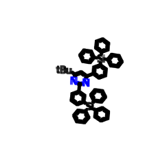 CC(C)(C)c1cc(-c2cccc([Si](c3ccccc3)(c3ccccc3)c3ccccc3)c2)nc(-c2cccc([Si](c3ccccc3)(c3ccccc3)c3ccccc3)c2)n1